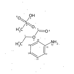 CCOC=O.CS(=O)(=O)O.Nc1ccccc1